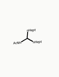 CCCCCCCC(CCCCCCC)NC(C)=O